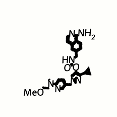 COCCN(C)c1ccc(Cn2cc(OC(=O)NCc3ccc4c(N)nccc4c3)c(C3CC3)n2)cn1